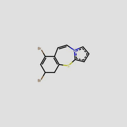 BrC1=CC(Br)CC2=C1C=Cn1cccc1S2